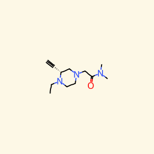 C#C[C@@H]1CN(CC(=O)N(C)C)CCN1CC